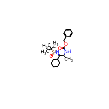 C[C@H](NC(=O)OCc1ccccc1)/C(=N/[S+]([O-])C(C)(C)C)C1CCCCC1